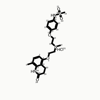 Cc1ccc(OCCN(C)CCOc2ccc(NS(C)(=O)=O)cc2)c2c1NC(=O)CC2.Cl